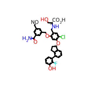 NC(=O)c1cc(CN=O)cc(COc2cc(O[C@H]3CCc4c(-c5cccc(O)c5F)cccc43)c(Cl)cc2CN[C@@H](CO)C(=O)O)c1